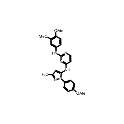 COc1ccc(-n2nc(C(F)(F)F)cc2Nc2ccnc(Nc3ccc(OC)c(OC)c3)n2)cc1